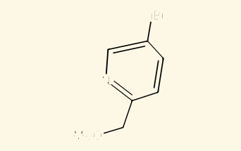 CCC(C)c1ccc(COC)nc1